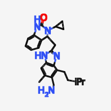 Cc1cc2[nH]c(CC3c4ccccc4NC(=O)N3C3CC3)nc2c(CCC(C)C)c1CN